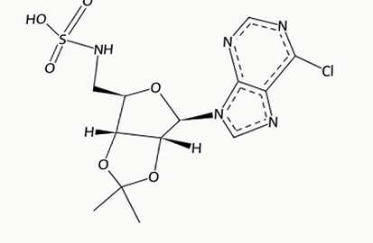 CC1(C)O[C@@H]2[C@H](O1)[C@@H](CNS(=O)(=O)O)O[C@H]2n1cnc2c(Cl)ncnc21